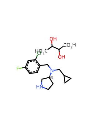 Fc1ccc(CN(CC2CC2)[C@H]2CCNC2)c(Cl)c1.O=C(O)C(O)C(O)C(=O)O